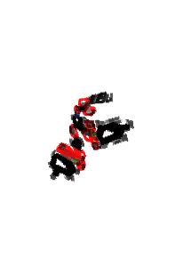 Cc1ccc(S(=O)(=O)OCCO[C@H]2CN(OC(=O)OC(C)(C)C)C[C@@H]2OS(=O)(=O)c2ccc(C)cc2)cc1